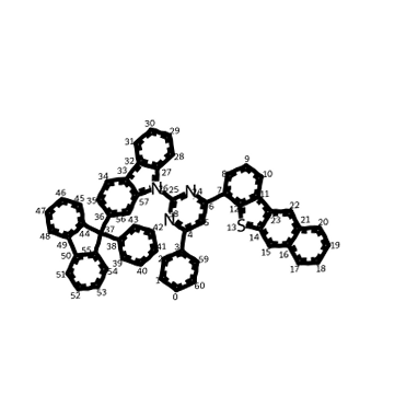 c1ccc(-c2cc(-c3cccc4c3sc3cc5ccccc5cc34)nc(-n3c4ccccc4c4ccc(C5(c6ccccc6)c6ccccc6-c6ccccc65)cc43)n2)cc1